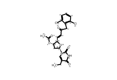 CCc1cn([C@H]2C[C@H](OC(C)=O)[C@@H](C=CC(=O)Cc3c(Cl)cccc3Cl)O2)c(=O)[nH]c1=O